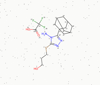 Nn1c(SCCCO)nnc1C12CC3CC(CC(C3)C1)C2.O=C(O)C(F)(F)F